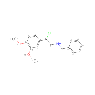 COc1ccc(C(Cl)CNCc2ccccc2)cc1OC